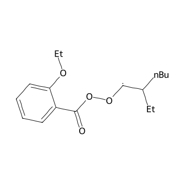 CCCCC([CH]OOC(=O)c1ccccc1OCC)CC